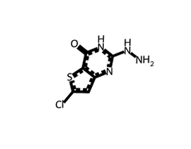 NNc1nc2cc(Cl)sc2c(=O)[nH]1